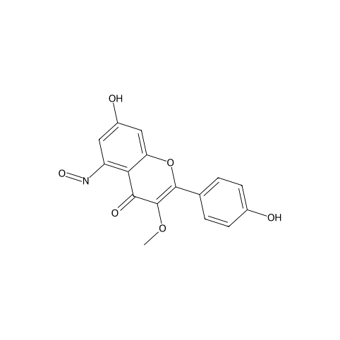 COc1c(-c2ccc(O)cc2)oc2cc(O)cc(N=O)c2c1=O